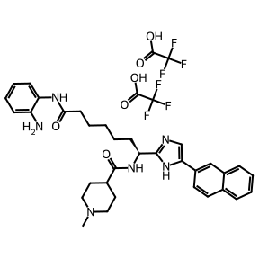 CN1CCC(C(=O)N[C@@H](CCCCCC(=O)Nc2ccccc2N)c2ncc(-c3ccc4ccccc4c3)[nH]2)CC1.O=C(O)C(F)(F)F.O=C(O)C(F)(F)F